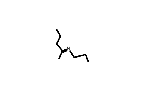 C[CH]CC(C)=NCCC